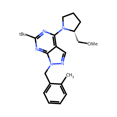 COC[C@H]1CCCN1c1nc(C(C)(C)C)nc2c1cnn2Cc1ccccc1C